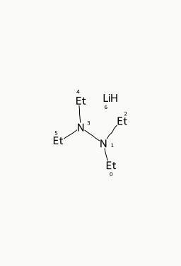 CCN(CC)N(CC)CC.[LiH]